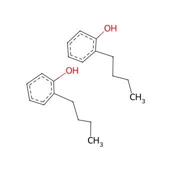 CCCCc1ccccc1O.CCCCc1ccccc1O